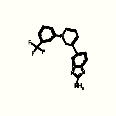 Nc1nc2ccc(C3=CC=CN(c4cccc(C(F)(F)F)c4)C3)cn2n1